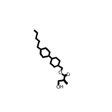 C=C(CO)C(=O)OCC1CCC(C2CCC(CCCCC)CC2)CC1